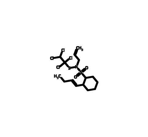 C=CCN(SC(Cl)(Cl)C(Cl)Cl)S(=O)(=O)C1CCCCC1C=CCC